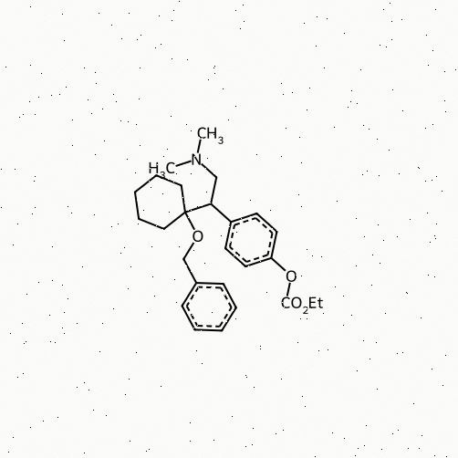 CCOC(=O)Oc1ccc(C(CN(C)C)C2(OCc3ccccc3)CCCCC2)cc1